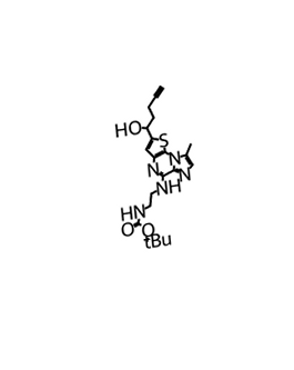 C#CCCC(O)c1cc2nc(NCCNC(=O)OC(C)(C)C)c3ncc(C)n3c2s1